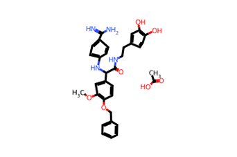 CC(=O)O.COc1cc(C(Nc2ccc(C(=N)N)cc2)C(=O)NCCc2ccc(O)c(O)c2)ccc1OCc1ccccc1